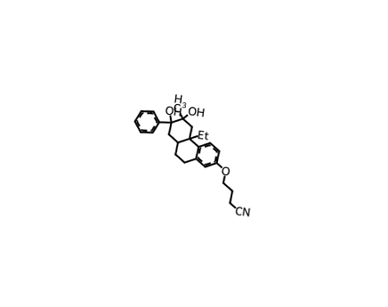 CCC12CC(C)(O)C(O)(c3ccccc3)CC1CCc1cc(OCCCC#N)ccc12